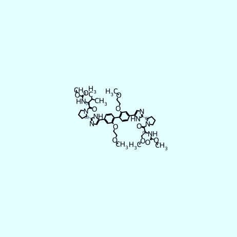 COCCOc1cc(-c2cnc([C@@H]3CCCN3C(=O)[C@H](COC)NC(=O)OC)[nH]2)ccc1-c1ccc(-c2cnc([C@@H]3CCCN3C(=O)[C@@H](NC(=O)OC)C(C)C)[nH]2)cc1OCCOC